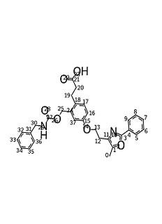 Cc1oc(-c2ccccc2)nc1CCOc1ccc(CCC(=O)O)c(COC(=O)NCc2ccccc2)c1